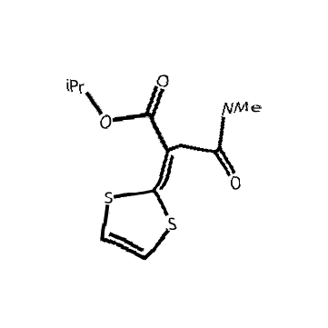 CNC(=O)C(C(=O)OC(C)C)=C1SC=CS1